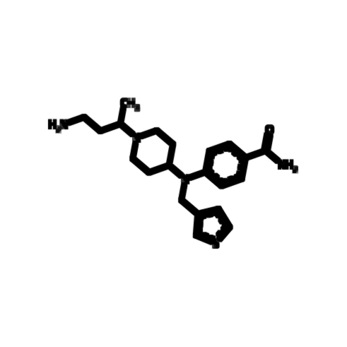 CC(CCN)N1CCC(N(Cc2ccsc2)c2ccc(C(N)=O)cc2)CC1